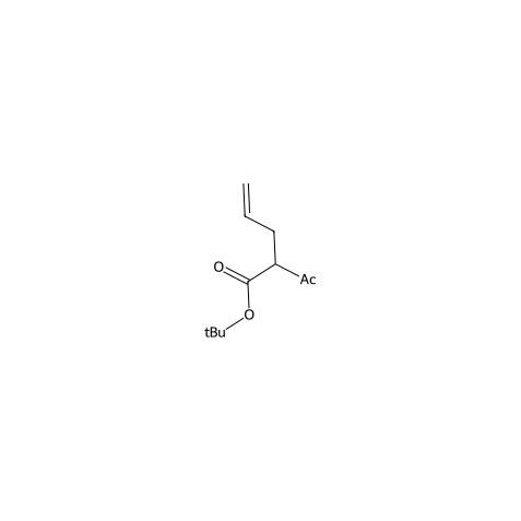 C=CCC(C(C)=O)C(=O)OC(C)(C)C